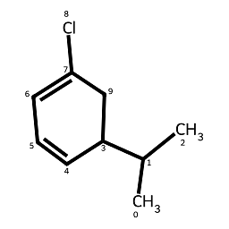 CC(C)C1C=CC=C(Cl)C1